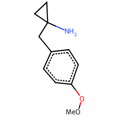 COOc1ccc(CC2(N)CC2)cc1